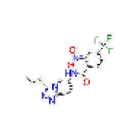 CCSc1nnc2ccc(NC(=O)c3ccc(C(F)(F)F)cc3[N+](=O)[O-])cn12